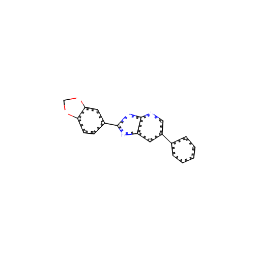 c1ccc(-c2cnc3nc(-c4ccc5c(c4)OCO5)[nH]c3c2)cc1